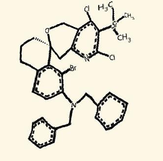 C[Si](C)(C)c1c(Cl)nc2c(c1Cl)CO[C@@]1(CCCc3ccc(N(Cc4ccccc4)Cc4ccccc4)c(Br)c31)C2